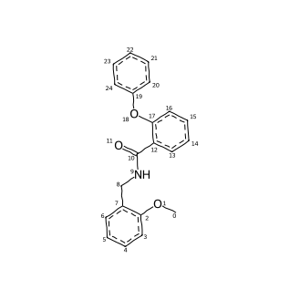 COc1ccccc1CNC(=O)c1ccccc1Oc1ccccc1